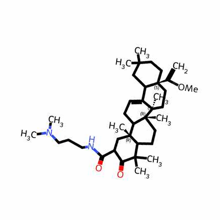 C=C(OC)[C@]12CCC(C)(C)CC1C1=CCC3[C@@]4(C)CC(C(=O)NCCCN(C)C)C(=O)C(C)(C)C4CC[C@@]3(C)[C@]1(C)CC2